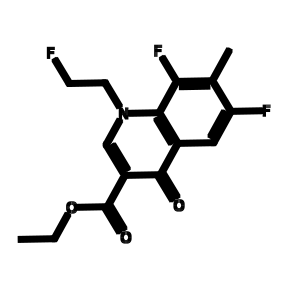 CCOC(=O)c1cn(CCF)c2c(F)c(C)c(F)cc2c1=O